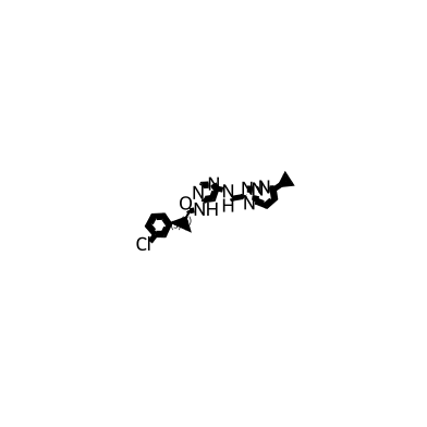 O=C(Nc1cc(NCc2nc3ccc(C4CC4)nn3n2)ncn1)[C@H]1C[C@@H]1c1cccc(Cl)c1